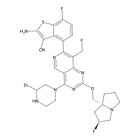 CCC1CN(c2nc(OC[C@]34CCCN3C[C@@H](F)C4)nc3c(CF)c(-c4ccc(F)c5sc(N)c(C#N)c45)ncc23)CCN1